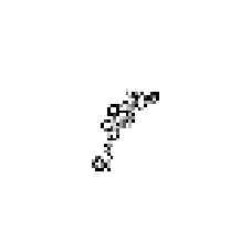 O=C1CCC(N2Cc3cccc(NC(=O)OCCSSc4ccccn4)c3C2=O)C(=O)N1